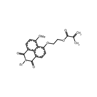 C=C(C)C(=O)OCCOc1ccc2c3c(ccc(OC)c13)C(=O)N(CC)C2=O